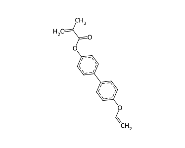 C=COc1ccc(-c2ccc(OC(=O)C(=C)C)cc2)cc1